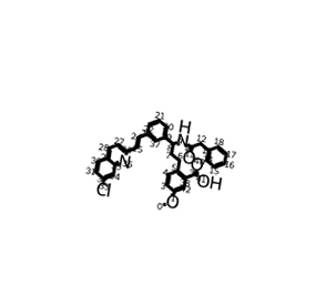 COc1ccc(CCC(NC(=O)Cc2ccccc2)c2cccc(/C=C/c3ccc4ccc(Cl)cc4n3)c2)c(C(=O)O)c1